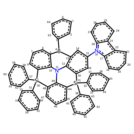 c1ccc(B2c3cccc4c3N3c5c2cc(-n2c6ccccc6c6ccccc62)cc5[Si](c2ccccc2)(c2ccccc2)c2cccc(c23)[Si]4(c2ccccc2)c2ccccc2)cc1